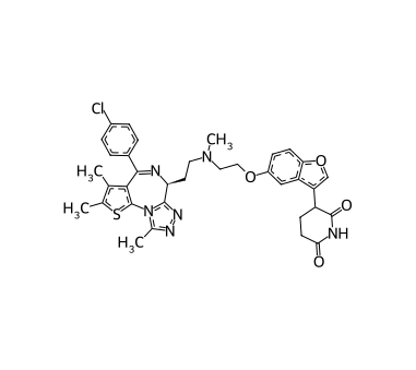 Cc1sc2c(c1C)C(c1ccc(Cl)cc1)=N[C@@H](CCN(C)CCOc1ccc3occ(C4CCC(=O)NC4=O)c3c1)c1nnc(C)n1-2